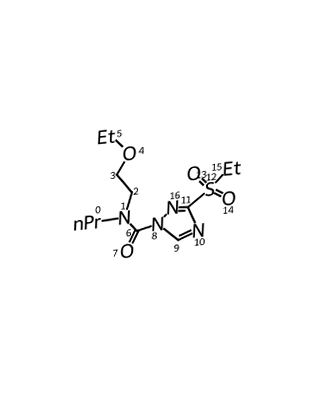 CCCN(CCOCC)C(=O)n1cnc(S(=O)(=O)CC)n1